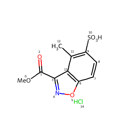 COC(=O)c1noc2ccc(S(=O)(=O)O)c(C)c12.Cl